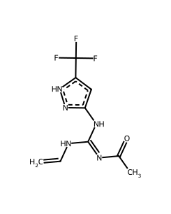 C=CN/C(=N/C(C)=O)Nc1cc(C(F)(F)F)[nH]n1